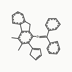 Cc1c(C)c2c([c]([Zr]=[C](c3ccccc3)c3ccccc3)c1C1=CC=CC1)Cc1ccccc1-2